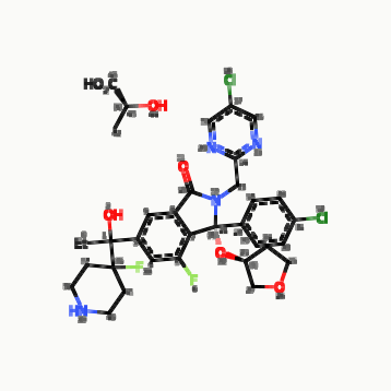 CCC(O)(c1cc(F)c2c(c1)C(=O)N(Cc1ncc(Cl)cn1)[C@@]2(O[C@H]1CCOC1)c1ccc(Cl)cc1)C1(F)CCNCC1.C[C@H](O)C(=O)O